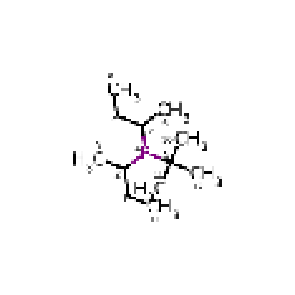 CCC(C)P(C(C)CC)C(C)(C)C